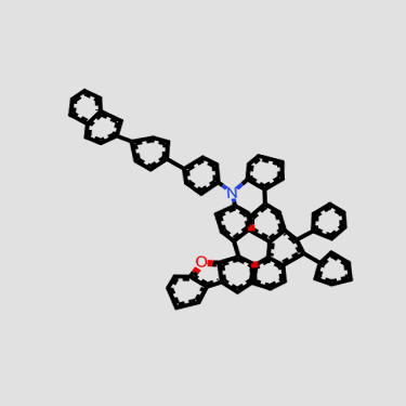 c1ccc(-c2c(-c3ccccc3)c3cc(-c4ccccc4N(c4ccc(-c5ccc(-c6ccc7ccccc7c6)cc5)cc4)c4ccc(-c5cccc6c5oc5ccccc56)cc4)ccc3c3ccccc23)cc1